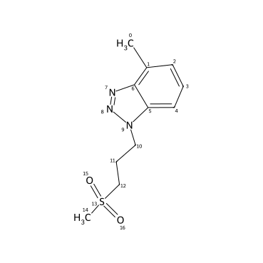 Cc1cccc2c1nnn2CCCS(C)(=O)=O